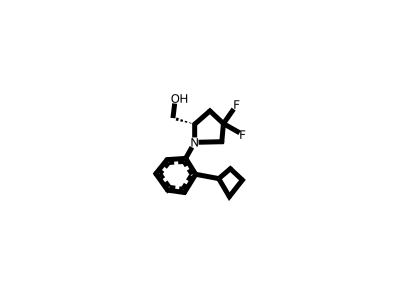 OC[C@@H]1CC(F)(F)CN1c1cc[c]cc1C1CCC1